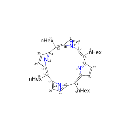 CCCCCCc1c2nc(c(CCCCCC)c3ccc([nH]3)c(CCCCCC)c3nc(c(CCCCCC)c4ccc1[nH]4)C=C3)C=C2